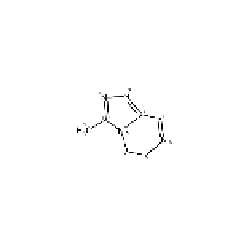 Cc1nnc2n1CCN=C2